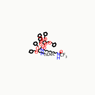 CCCCCCCCCCCCCCC(OCc1ccccc1)C(OCc1ccccc1)C(CO[C@H]1OC(COCc2ccccc2)[C@H](OCc2ccccc2)[C@H](OCc2ccccc2)[C@H]1OCc1ccccc1)NC(=O)CCCCCCCCNC(=O)C(F)(F)F